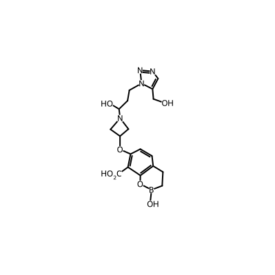 O=C(O)c1c(OC2CN(C(O)CCn3nncc3CO)C2)ccc2c1OB(O)CC2